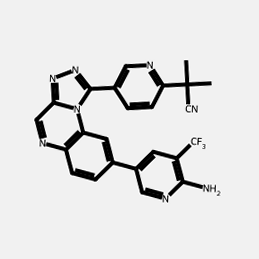 CC(C)(C#N)c1ccc(-c2nnc3cnc4ccc(-c5cnc(N)c(C(F)(F)F)c5)cc4n23)cn1